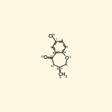 C[C@@H]1COc2ccc(Cl)cc2C(=O)C1